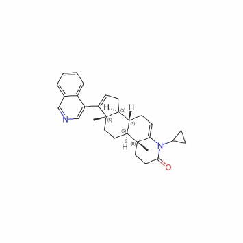 C[C@]12CCC(=O)N(C3CC3)C1=CC[C@@H]1[C@@H]2CC[C@]2(C)C(c3cncc4ccccc34)=CC[C@@H]12